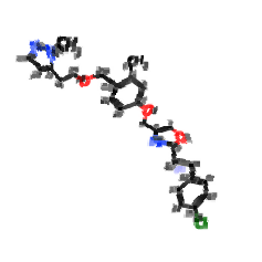 Cc1cc(OCc2coc(/C=C/c3ccc(Cl)cc3)n2)ccc1COCCc1ccnn1C